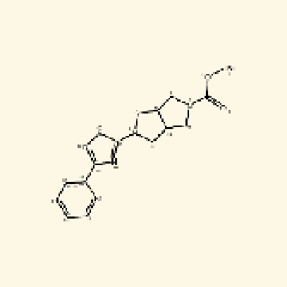 CC(C)(C)OC(=O)N1CC2CN(c3nc(-c4ccccc4)ns3)CC2C1